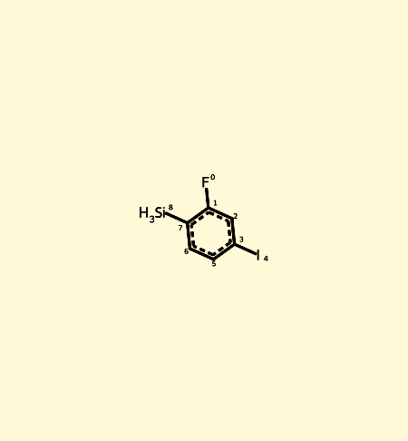 Fc1cc(I)ccc1[SiH3]